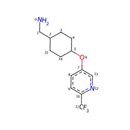 NCC1CCC(Oc2ccc(C(F)(F)F)nc2)CC1